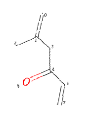 [CH]=C(C)CC(=O)C=C